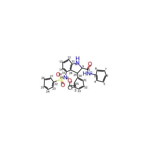 O=C(Nc1ccccc1)C1Nc2cccc(N(OC(F)(F)F)S(=O)(=O)c3ccccc3)c2C1c1ccccc1